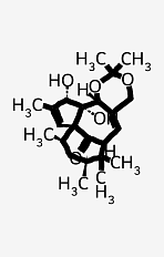 CC1=C[C@]23C(=O)[C@@H](C=C4COC(C)(C)O[C@H]4[C@]2(O)[C@H]1O)C(C)(C)[C@@H](C)C[C@H]3C